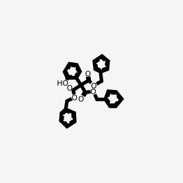 O=C(OCc1ccccc1)C(C(=O)OCc1ccccc1)(C(=O)OCc1ccccc1)c1ccccc1O